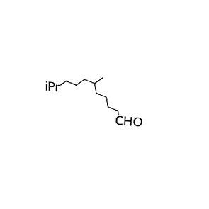 CC(C)CCCC(C)CCCCC=O